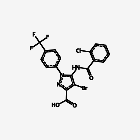 O=C(Nc1c(Br)c(C(=O)O)nn1-c1ccc(C(F)(F)F)cc1)c1ccccc1Cl